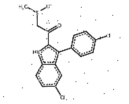 C[S+]([O-])CC(=O)c1[nH]c2ccc(Cl)cc2c1-c1ccc(Cl)cc1